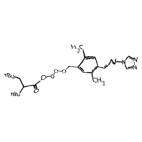 Cc1cc(COOOOC(=O)C(CC(C)(C)C)C(C)(C)C)c(C)cc1/C=N/n1cnnc1